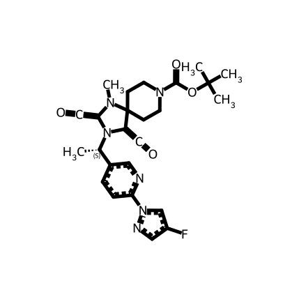 C[C@@H](c1ccc(-n2cc(F)cn2)nc1)N1C(=C=O)N(C)C2(CCN(C(=O)OC(C)(C)C)CC2)C1=C=O